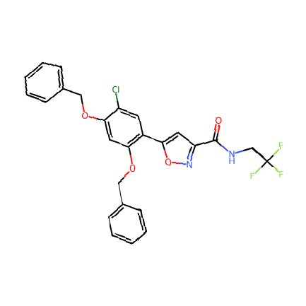 O=C(NCC(F)(F)F)c1cc(-c2cc(Cl)c(OCc3ccccc3)cc2OCc2ccccc2)on1